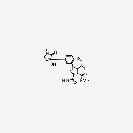 CNC(=O)c1c(C(N)=O)nn2c1[C@H](F)COc1ccc(C#C[C@]3(O)CCN(C)C3=O)cc1-2